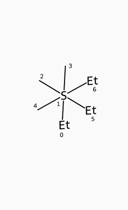 CCS(C)(C)(C)(CC)CC